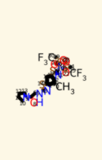 Cc1c2nc(NCC(=O)N3CCCC3)sc2cc2sc(N(S(=O)(=O)CC(F)(F)F)S(=O)(=O)CC(F)(F)F)nc12